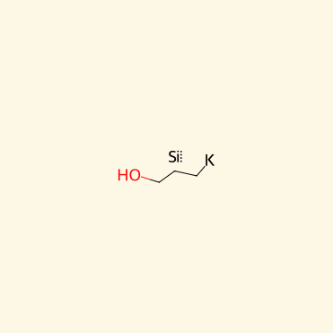 OCC[CH2][K].[Si]